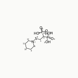 O=P(O)(O)C(CSN1CCCCC1)P(=O)(O)O